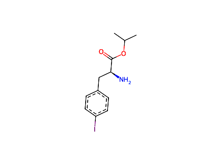 CC(C)OC(=O)[C@@H](N)Cc1ccc(I)cc1